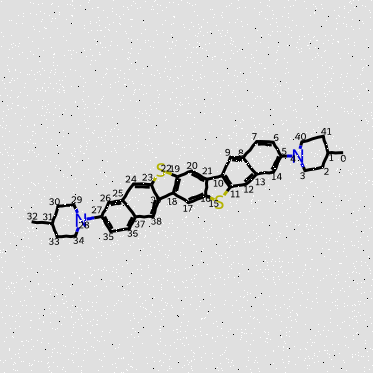 CC1CCN(c2ccc3cc4c(cc3c2)sc2cc3c(cc24)sc2cc4cc(N5CCC(C)CC5)ccc4cc23)CC1